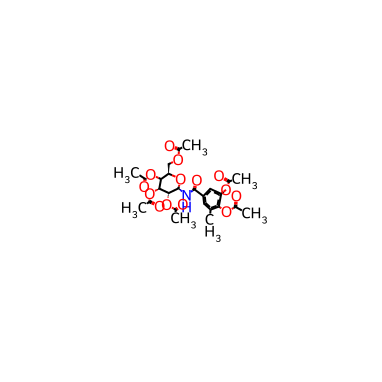 CC(=O)OC[C@H]1O[C@@H](NC(=O)c2cc(C)c(OC(C)=O)c(OC(C)=O)c2)[C@H](OC(C)=O)[C@@H](OC(C)=O)C1OC(C)=O